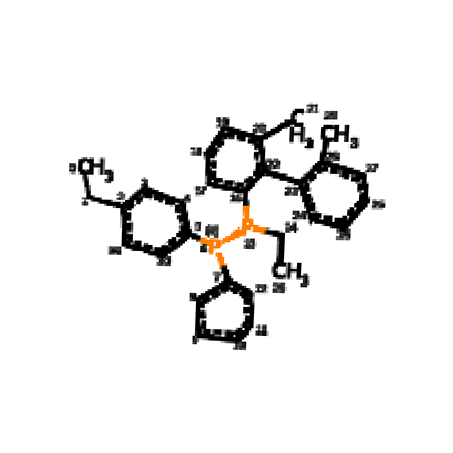 CCc1ccc([P@](c2ccccc2)P(CC)c2cccc(C)c2-c2[c]cccc2C)cc1